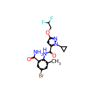 Cc1cc(Br)cc(C(N)=O)c1NC(=O)c1cc(OCC(F)F)nn1C1CC1